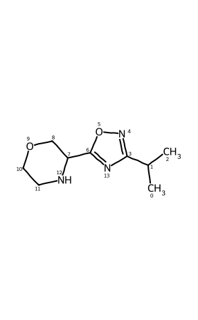 CC(C)c1noc(C2COCCN2)n1